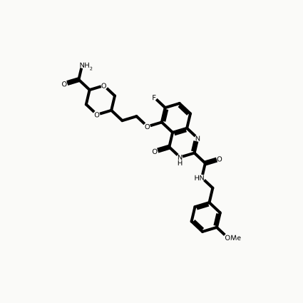 COc1cccc(CNC(=O)c2nc3ccc(F)c(OCCC4COC(C(N)=O)CO4)c3c(=O)[nH]2)c1